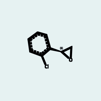 Clc1ccccc1[C@H]1CO1